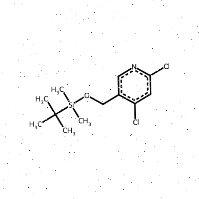 CC(C)(C)[Si](C)(C)OCc1cnc(Cl)cc1Cl